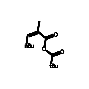 CCCCC=C(C)C(=O)OC(=O)C(C)(C)C